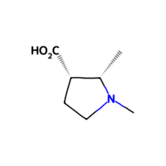 C[C@H]1[C@@H](C(=O)O)CCN1C